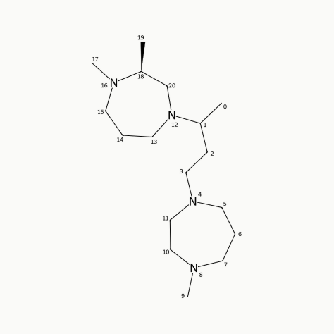 CC(CCN1CCCN(C)CC1)N1CCCN(C)[C@@H](C)C1